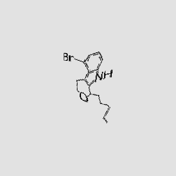 C/C=C/CCC1OCCc2c1[nH]c1cccc(Br)c21